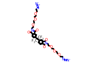 [N-]=[N+]=NCCOCCOCCOCCN1C(=O)c2ccc(C(c3ccc4c(c3)C(=O)N(CCOCCOCCOCCN=[N+]=[N-])C4=O)(C(F)(F)F)C(F)(F)F)cc2C1=O